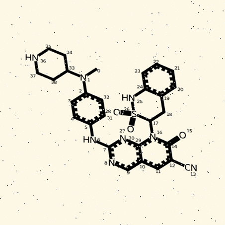 CN(c1ccc(Nc2ncc3cc(C#N)c(=O)n(C4Cc5ccccc5NS4(=O)=O)c3n2)cc1)C1CCNCC1